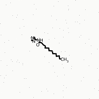 CCCCCCCCCCCCCC(=O)NC1=C[N]C=N1